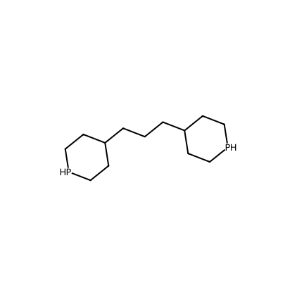 C(CC1CCPCC1)CC1CCPCC1